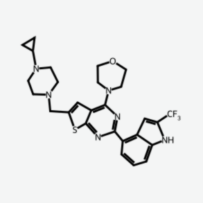 FC(F)(F)c1cc2c(-c3nc(N4CCOCC4)c4cc(CN5CCN(C6CC6)CC5)sc4n3)cccc2[nH]1